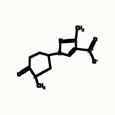 Cc1nn(C2CCC(=O)N(C)C2)cc1[N+](=O)[O-]